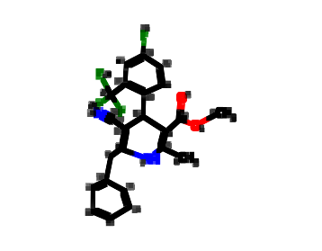 COC(=O)C1=C(C)NC(Cc2ccccc2)=C(C#N)C1c1ccc(F)cc1C(F)(F)F